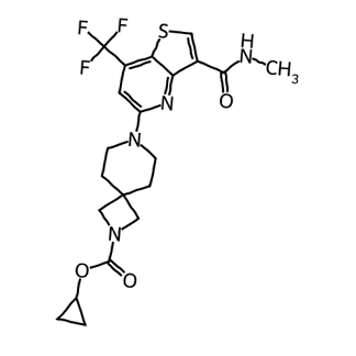 CNC(=O)c1csc2c(C(F)(F)F)cc(N3CCC4(CC3)CN(C(=O)OC3CC3)C4)nc12